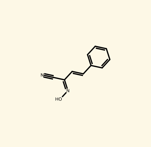 N#CC(C=Cc1ccccc1)=NO